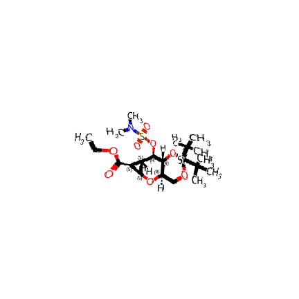 CCOC(=O)[C@@H]1[C@H]2O[C@@H]3CO[Si](C(C)(C)C)(C(C)(C)C)O[C@H]3[C@H](OS(=O)(=O)N(C)C)[C@H]21